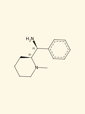 CN1CCCC[C@H]1[C@@H](N)c1ccccc1